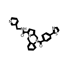 O=C(NCc1cccnc1)c1ccc2n1Cc1ccccc1N(C(=O)c1ccc(-c3nccs3)cc1)C2